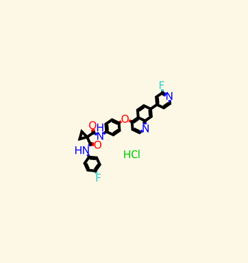 Cl.O=C(Nc1ccc(F)cc1)C1(C(=O)Nc2ccc(Oc3ccnc4cc(-c5ccnc(F)c5)ccc34)cc2)CC1